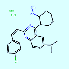 CC(C)c1ccc2nc(/C=C\c3ccc(Cl)cc3)nc(C3CCCCC3NN)c2c1.Cl.Cl